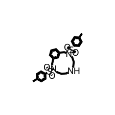 Cc1ccc(S(=O)(=O)N2CCCNCCCN(S(=O)(=O)c3ccc(C)cc3)Cc3cccc(c3)C2)cc1